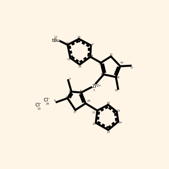 CC1=C(C)[C]([Zr+2][C]2=C(c3ccc(C(C)(C)C)cc3)CC(C)=C2C)=C(c2ccccc2)C1.[Cl-].[Cl-]